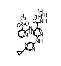 [2H]C([2H])([2H])NC(=O)c1nnc(Nc2cnc(C3CC3)cn2)cc1Nc1ncccc1S(C)(=O)=O